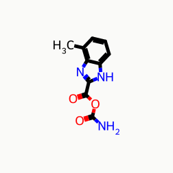 Cc1cccc2[nH]c(C(=O)OC(N)=O)nc12